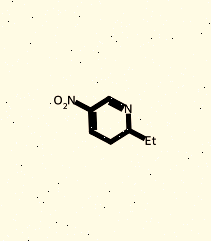 CCC1CC=C([N+](=O)[O-])C=N1